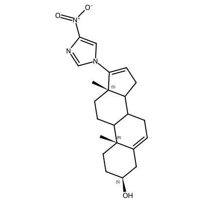 C[C@]12CC[C@H](O)CC1=CCC1C2CC[C@]2(C)C(n3cnc([N+](=O)[O-])c3)=CCC12